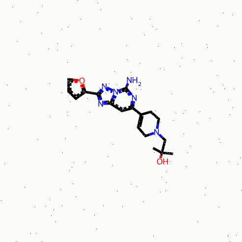 CC(C)(O)CN1CC=C(c2cc3nc(-c4ccco4)nn3c(N)n2)CC1